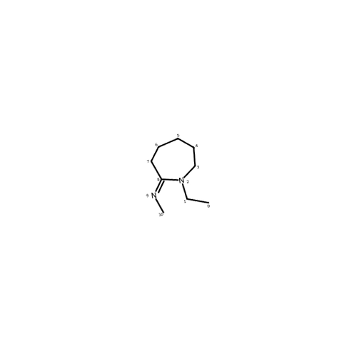 CCN1CCCCC/C1=N/C